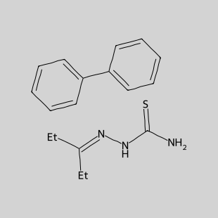 CCC(CC)=NNC(N)=S.c1ccc(-c2ccccc2)cc1